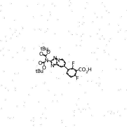 CC(C)(C)OC(=O)N(C(=O)OC(C)(C)C)c1nc2cc(-c3ccc(F)c(C(=O)O)c3F)ccn2n1